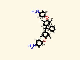 Cc1cc(C(C)(c2ccccc2)c2cc(C)c(Oc3ccc(N)cc3)c(C)c2)cc(C)c1Oc1ccc(N)cc1